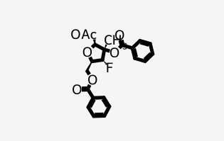 CC(=O)O[C@@H]1O[C@H](COC(=O)c2ccccc2)[C@@H](F)[C@]1(C)OC(=O)c1ccccc1